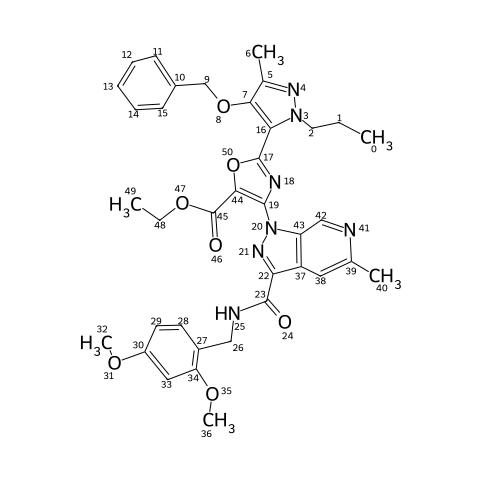 CCCn1nc(C)c(OCc2ccccc2)c1-c1nc(-n2nc(C(=O)NCc3ccc(OC)cc3OC)c3cc(C)ncc32)c(C(=O)OCC)o1